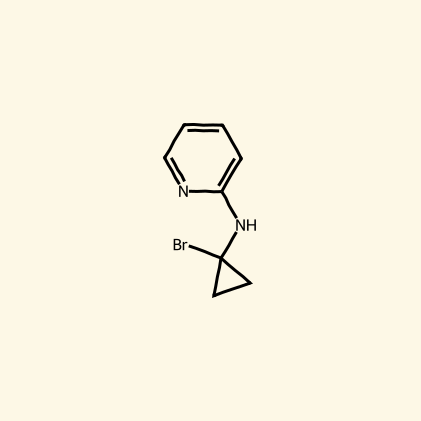 BrC1(Nc2ccccn2)CC1